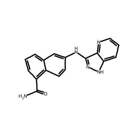 NC(=O)c1cccc2cc(Nc3n[nH]c4cccnc34)ccc12